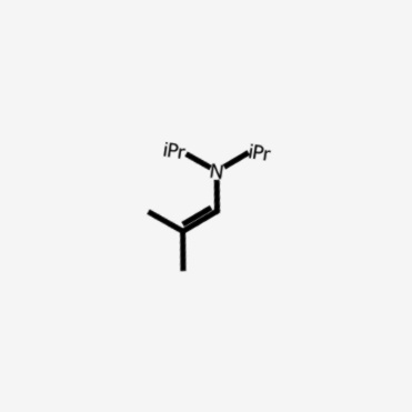 CC(C)=CN(C(C)C)C(C)C